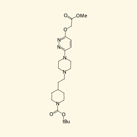 COC(=O)COc1ccc(N2CCN(CCC3CCN(C(=O)OC(C)(C)C)CC3)CC2)nn1